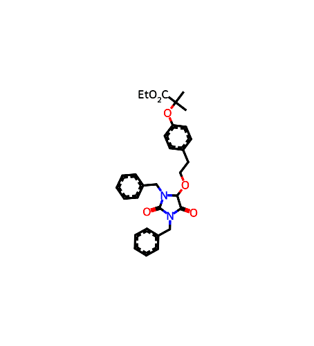 CCOC(=O)C(C)(C)Oc1ccc(CCOC2C(=O)N(Cc3ccccc3)C(=O)N2Cc2ccccc2)cc1